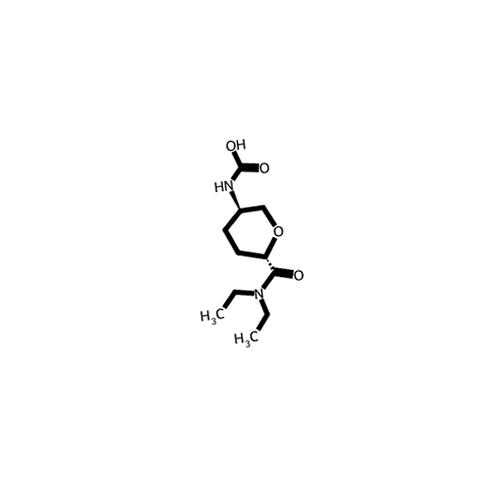 CCN(CC)C(=O)[C@@H]1CC[C@@H](NC(=O)O)CO1